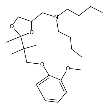 CCCCN(CCCC)CC1COC(C)(C(C)(C)COc2ccccc2OC)O1